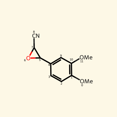 COc1ccc(C2OC2C#N)cc1OC